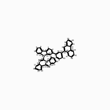 c1cc(-c2ccc3c4ccccc4n(-c4nc5ccccc5c5nc6ccccc6n45)c3c2)cc(-c2cc3ccccc3c3ccccc23)c1